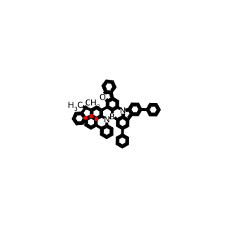 CC1(C)c2ccccc2-c2cc3c(cc21)-c1c2c(cc4c1oc1ccccc14)-n1c4ccc(-c5ccccc5)cc4c4cc(-c5ccccc5)cc(c41)B2N3c1ccccc1-c1ccccc1